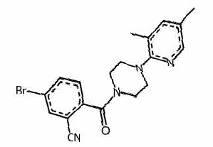 Cc1cnc(N2CCN(C(=O)c3ccc(Br)cc3C#N)CC2)c(C)c1